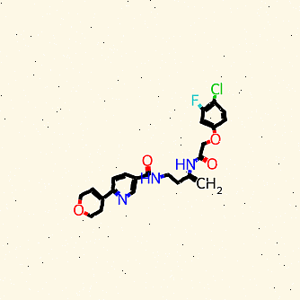 C=C(CCNC(=O)c1ccc(C2=CCOCC2)nc1)NC(=O)COc1ccc(Cl)c(F)c1